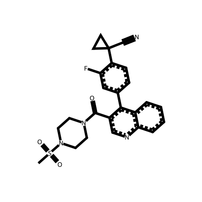 CS(=O)(=O)N1CCN(C(=O)c2cnc3ccccc3c2-c2ccc(C3(C#N)CC3)c(F)c2)CC1